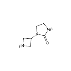 O=C1NCCN1C1CNC1